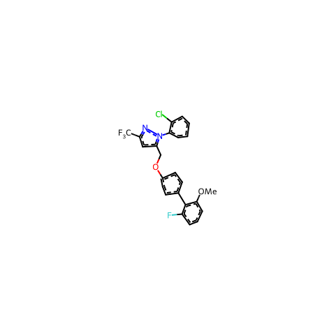 COc1cccc(F)c1-c1ccc(OCc2cc(C(F)(F)F)nn2-c2ccccc2Cl)cc1